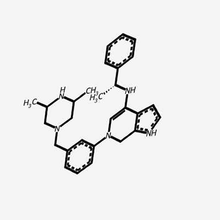 CC1CN(Cc2cccc(N3C=C(N[C@H](C)c4ccccc4)c4cc[nH]c4C3)c2)CC(C)N1